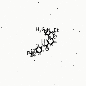 CCOc1nn(C)cc1-n1cc(C(=O)Nc2ccc(OC(F)(F)Cl)cc2)ccc1=O